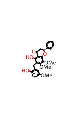 COc1ccc(O)c(Cc2c(O)c3c(c(OC)c2OC)O[C@H](c2ccccc2)CC3=O)c1